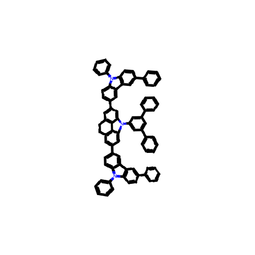 c1ccc(-c2cc(-c3ccccc3)cc(-n3c4cc(-c5ccc6c(c5)c5cc(-c7ccccc7)ccc5n6-c5ccccc5)cc5c4c4c(cc(-c6ccc7c(c6)c6cc(-c8ccccc8)ccc6n7-c6ccccc6)cc43)CC5)c2)cc1